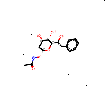 CC(=O)NO[C@@H]1C[C@@H](O)[C@H](O)[C@@H](C(O)Cc2ccccc2)O1